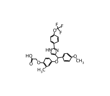 COc1ccc(C(Oc2ccc(OCC(=O)O)c(C)c2)c2c[nH]c(-c3ccc(OC(F)(F)F)cc3)n2)cc1